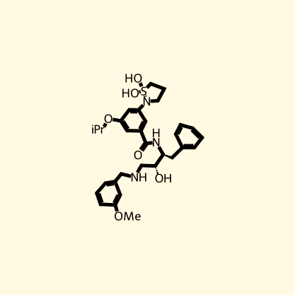 COc1cccc(CNC[C@@H](O)[C@H](Cc2ccccc2)NC(=O)c2cc(OC(C)C)cc(N3CCCS3(O)O)c2)c1